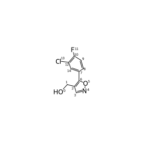 OCc1cnoc1-c1ccc(F)c(Cl)c1